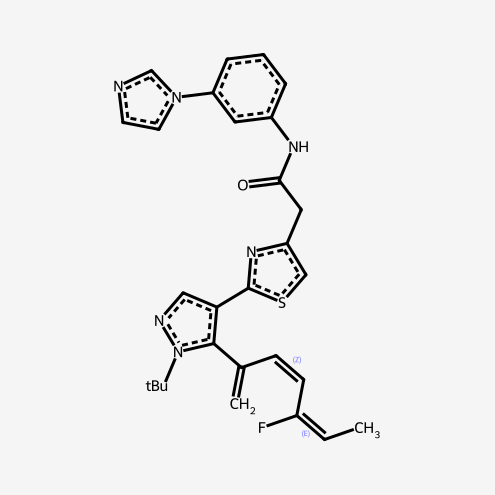 C=C(/C=C\C(F)=C/C)c1c(-c2nc(CC(=O)Nc3cccc(-n4ccnc4)c3)cs2)cnn1C(C)(C)C